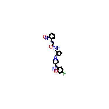 O=Nc1ccccc1/C=C/C(=O)NC[C@H]1CCC[C@@H]1CN1CCC(c2noc3cc(F)ccc23)CC1